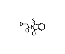 O=C(CC1CC1)N1C(=O)c2ccccc2C1=S